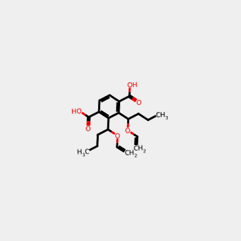 C=COC(CCC)c1c(C(=O)O)ccc(C(=O)O)c1C(CCC)OC=C